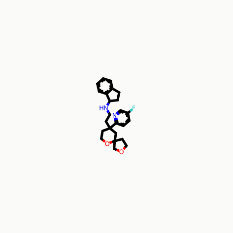 Fc1ccc(C2(CCNC3CCc4ccccc43)CCOC3(CCOC3)C2)nc1